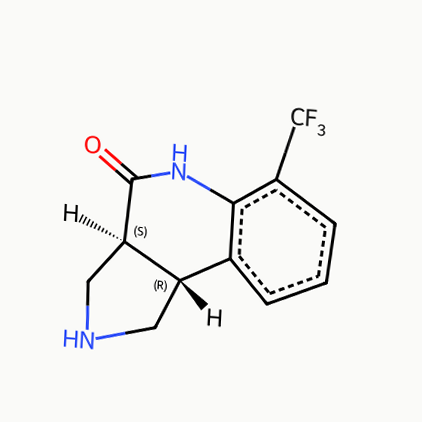 O=C1Nc2c(cccc2C(F)(F)F)[C@@H]2CNC[C@@H]12